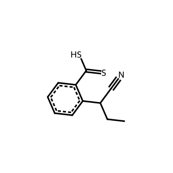 CCC(C#N)c1ccccc1C(=S)S